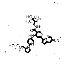 CC(C)(O)C(F)CNC(=O)c1cnc(-c2ccc3cc(C#N)cnn23)cc1Nc1ccc(N2CCCC2CNC(=O)O)nc1